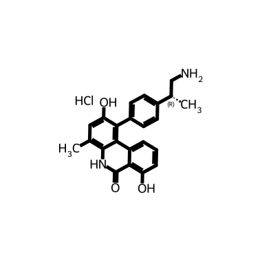 Cc1cc(O)c(-c2ccc([C@@H](C)CN)cc2)c2c1[nH]c(=O)c1c(O)cccc12.Cl